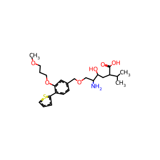 COCCCOc1cc(COCC(N)C(O)CC(C(=O)O)C(C)C)ccc1-c1cccs1